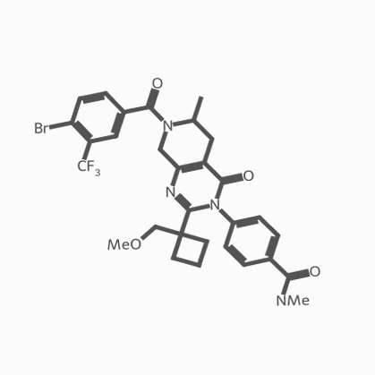 CNC(=O)c1ccc(-n2c(C3(COC)CCC3)nc3c(c2=O)CC(C)N(C(=O)c2ccc(Br)c(C(F)(F)F)c2)C3)cc1